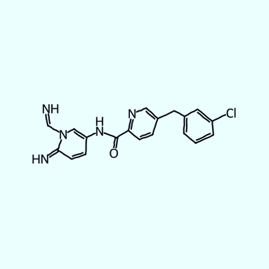 N=Cn1cc(NC(=O)c2ccc(Cc3cccc(Cl)c3)cn2)ccc1=N